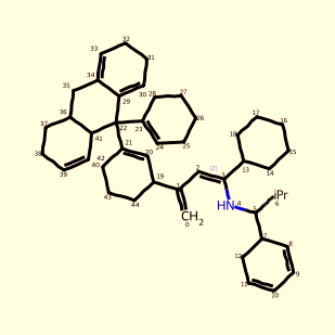 C=C(/C=C(\NC(C(C)C)C1C=CC=CC1)C1CCCCC1)C1C=C(C2(C3=CCCCC3)C3=CCCC=C3CC3CCC=CC32)CCC1